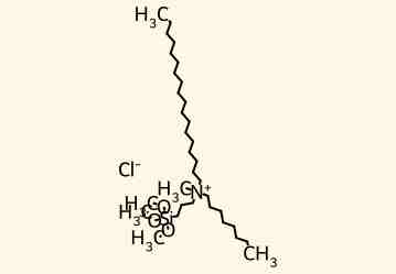 CCCCCCCCCCCCCCCCCC[N+](C)(CCCCCCCC)CCC[Si](OC)(OC)OC.[Cl-]